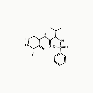 CC(C)C(NS(=O)(=O)c1ccccc1)C(=O)NC1CNNC(=O)C1=O